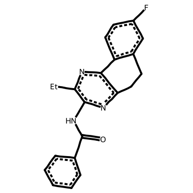 CCc1nc2c(nc1NC(=O)c1ccccc1)CCc1cc(F)ccc1-2